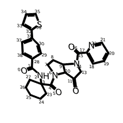 O=C(NC1(C(=O)N2CCC3C2C(=O)CN3C(=O)c2ccccn2)CCCCC1)c1ccc(-c2cccs2)cc1